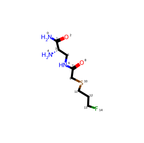 NC(=O)[C@@H](N)CNC(=O)CSCCCF